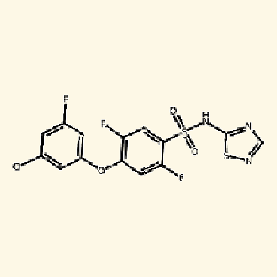 O=S(=O)(Nc1ncns1)c1cc(F)c(Oc2cc(F)cc(Cl)c2)cc1F